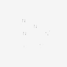 Nc1nc2ncoc2c(=O)[nH]1